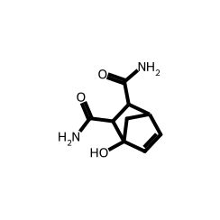 NC(=O)C1C2C=CC(O)(C2)C1C(N)=O